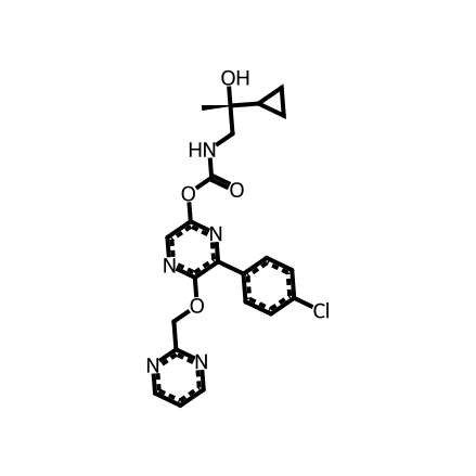 C[C@](O)(CNC(=O)Oc1cnc(OCc2ncccn2)c(-c2ccc(Cl)cc2)n1)C1CC1